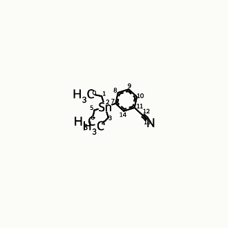 C[CH2][Sn]([CH2]C)([CH2]C)[c]1cccc(C#N)c1